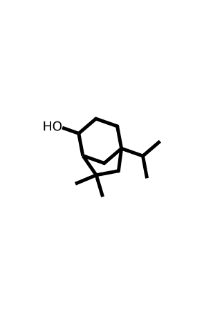 CC(C)C12CCC(O)C(C1)C(C)(C)C2